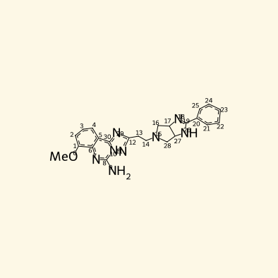 COc1cccc2c1nc(N)n1nc(CCN3CC4N=C(c5ccccc5)NC4C3)nc21